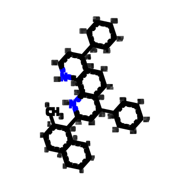 Cc1ccc2ccccc2c1-c1cc(-c2ccccc2)c2ccc3c(-c4ccccc4)ccnc3c2n1